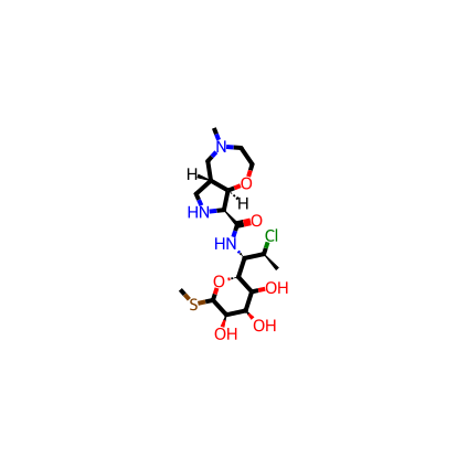 CSC1O[C@H]([C@H](NC(=O)[C@H]2NC[C@@H]3CN(C)CCO[C@H]32)[C@H](C)Cl)C(O)[C@@H](O)[C@H]1O